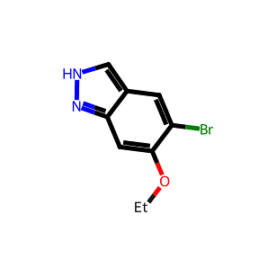 CCOc1cc2n[nH]cc2cc1Br